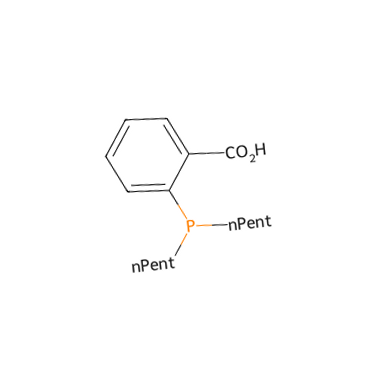 CCCCCP(CCCCC)c1ccccc1C(=O)O